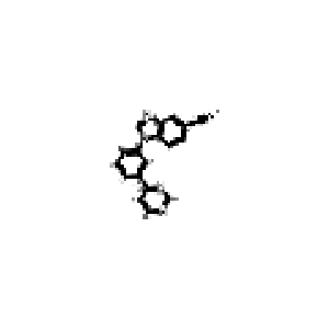 N#Cc1ccc2c(c1)ncn2-c1cccc(-c2ccncn2)c1